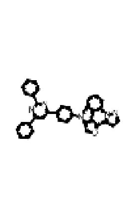 c1ccc(-c2cc(-c3ccc(-n4c5coc6c5c5c4cccc5n4nccc64)cc3)nc(-c3ccccc3)n2)cc1